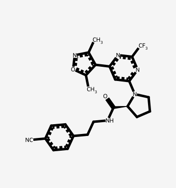 Cc1noc(C)c1-c1cc(N2CCC[C@H]2C(=O)NCCc2ccc(C#N)cc2)nc(C(F)(F)F)n1